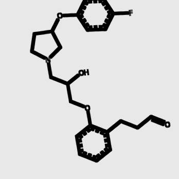 O=CCCc1ccccc1OCC(O)CN1CCC(Oc2ccc(F)cc2)C1